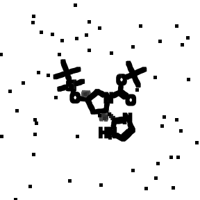 CC(C)(C)OC(=O)N1C[C@H](O[Si](C)(C)C(C)(C)C)C[C@H]1c1ncc[nH]1